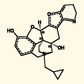 Oc1ccc2c3c1O[C@H]1c4oc5c(c4C[C@@]4(O)C(C2)N(CC2CC2)CC[C@]314)=NCCC=5